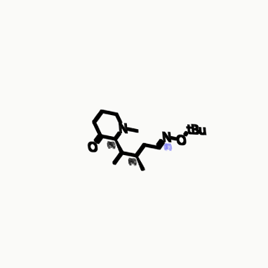 CC([C@H](C)C/C=N/OC(C)(C)C)[C@H]1C(=O)CCCN1C